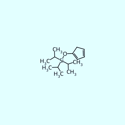 CC(C)[Si](OC1=CC=CC1)(C(C)C)C(C)C